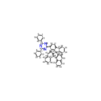 c1ccc(-c2nc(-c3ccccc3)nc(-c3ccc4c(c3)C3(c5ccccc5-4)c4ccc5ccccc5c4-c4c3ccc3ccccc43)n2)cc1